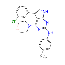 O=[N+]([O-])c1ccc(Nc2nc(N3CCOCC3)c3c(-c4cccc(Cl)c4)c[nH]c3n2)cc1